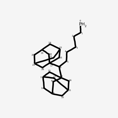 PCCCCCC(C12CC3CC(CC(C3)C1)C2)C12CC3CC(CC(C3)C1)C2